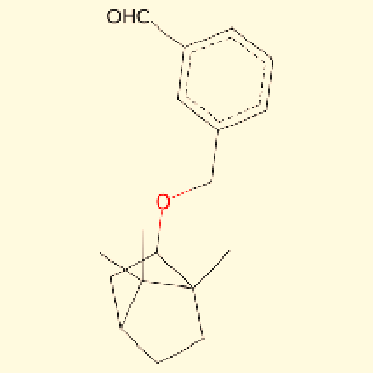 CC1(C)C2CCC1(C)C(OCc1cccc(C=O)c1)C2